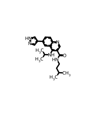 CC(C)CCNC(=O)c1cnc2ccc(-c3cn[nH]c3)cc2c1NC(C)C